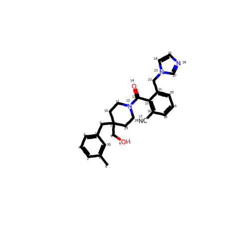 Cc1cccc(CC2(CO)CCN(C(=O)c3c(C#N)cccc3Cn3ccnc3)CC2)c1